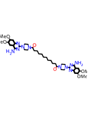 COc1cc2nc(N3CCN(C(=O)CCCCCCCCCCC(=O)N4CCN(c5nc(N)c6cc(OC)c(OC)cc6n5)CC4)CC3)nc(N)c2cc1OC